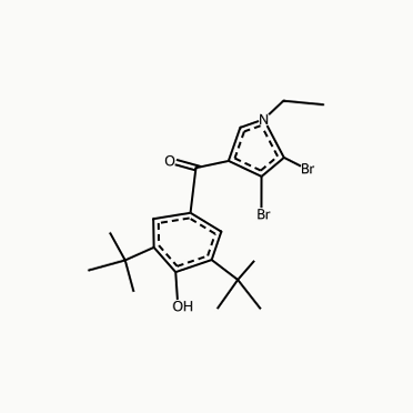 CCn1cc(C(=O)c2cc(C(C)(C)C)c(O)c(C(C)(C)C)c2)c(Br)c1Br